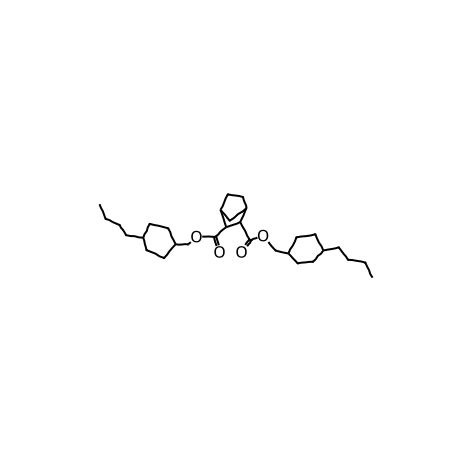 CCCCC1CCC(COC(=O)C2C3CCC(C3)C2C(=O)OCC2CCC(CCCC)CC2)CC1